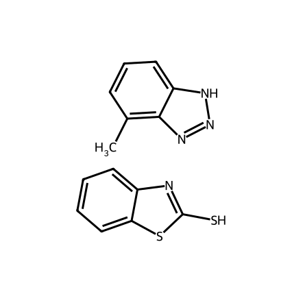 Cc1cccc2[nH]nnc12.Sc1nc2ccccc2s1